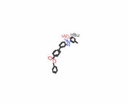 CCCCc1cc(C)cc(-n2nc3ccc(-c4ccc(C(=O)OCc5ccccc5)cc4)cc3n2)c1O